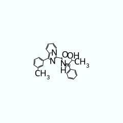 Cc1cccc(-c2nc(C(=O)N[C@H](c3ccccc3)C(C)O)n3ccccc23)c1